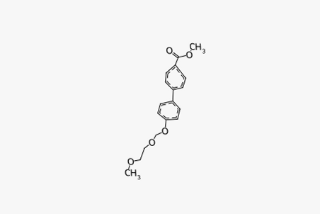 COCCOCOc1ccc(-c2ccc(C(=O)OC)cc2)cc1